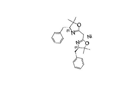 CC1(C)OC(CC2=N[C@H](Cc3ccccc3)C(C)(C)O2)=N[C@@H]1Cc1ccccc1.[Ni]